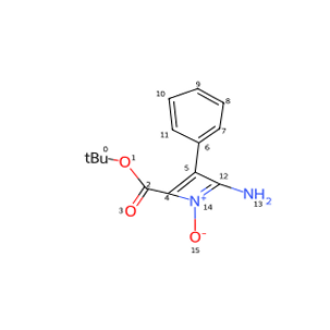 CC(C)(C)OC(=O)C1=C(c2ccccc2)C(N)=[N+]1[O-]